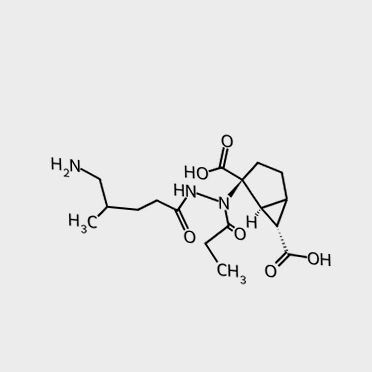 CCC(=O)N(NC(=O)CCC(C)CN)[C@@]1(C(=O)O)CCC2[C@H](C(=O)O)[C@H]21